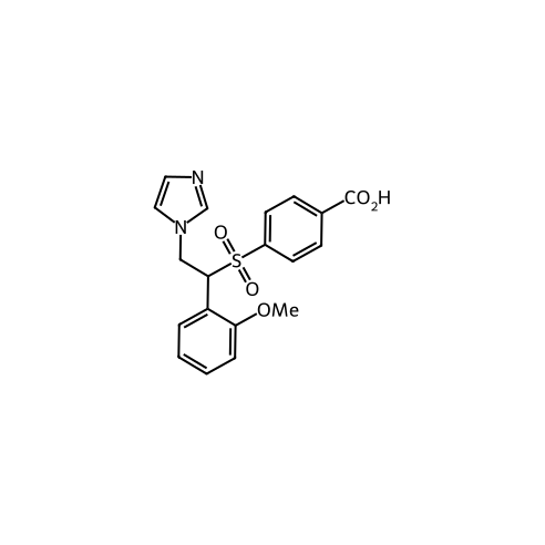 COc1ccccc1C(Cn1ccnc1)S(=O)(=O)c1ccc(C(=O)O)cc1